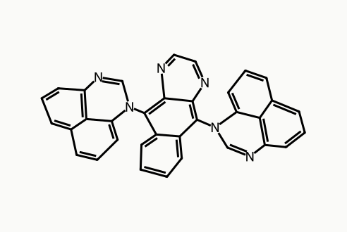 C1=Nc2cccc3cccc(c23)N1c1c2ccccc2c(N2C=Nc3cccc4cccc2c34)c2nccnc12